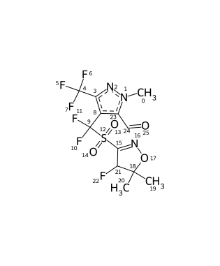 Cn1nc(C(F)(F)F)c(C(F)(F)S(=O)(=O)C2=NOC(C)(C)C2F)c1C=O